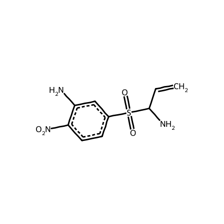 C=CC(N)S(=O)(=O)c1ccc([N+](=O)[O-])c(N)c1